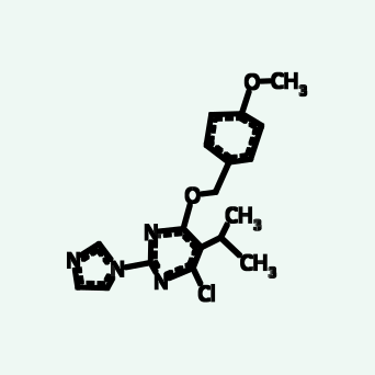 COc1ccc(COc2nc(-n3ccnc3)nc(Cl)c2C(C)C)cc1